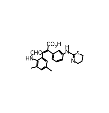 Cc1cc(C)c(NC=O)c(C=C(C(=O)O)c2cccc(NC3=NCCCS3)c2)c1